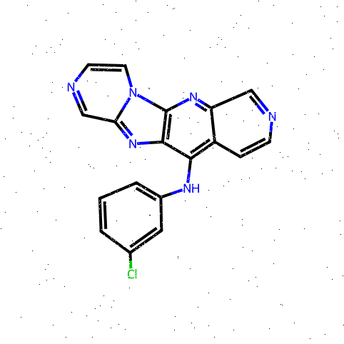 Clc1cccc(Nc2c3ccncc3nc3c2nc2cnccn23)c1